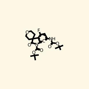 CC(C)(C)OC(=O)Nc1cc(F)c2c(c1)N(C(=O)OC(C)(C)C)C(=O)C21CCOCC1